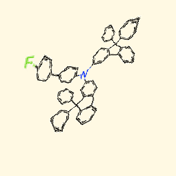 Fc1ccc(-c2ccc(N(c3ccc4c(c3)-c3ccccc3C4(c3ccccc3)c3ccccc3)c3ccc4c(c3)C(c3ccccc3)(c3ccccc3)c3ccccc3-4)cc2)cc1